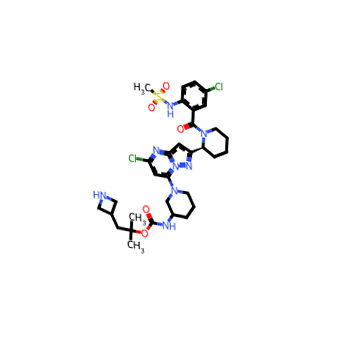 CC(C)(CC1CNC1)OC(=O)NC1CCCN(c2cc(Cl)nc3cc([C@@H]4CCCCN4C(=O)c4cc(Cl)ccc4NS(C)(=O)=O)nn23)C1